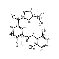 CC(=O)N(C)C1CCN(C(=O)c2cnc(N)c(OCc3c(Cl)cccc3Cl)c2)C1